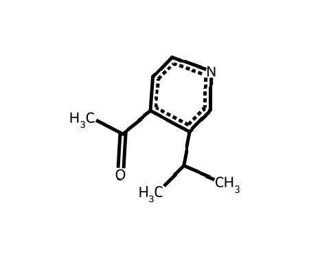 CC(=O)c1ccncc1C(C)C